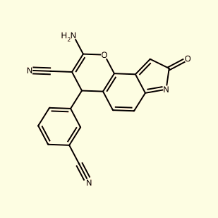 N#CC1=C(N)Oc2c(ccc3c2=CC(=O)N=3)C1c1cccc(C#N)c1